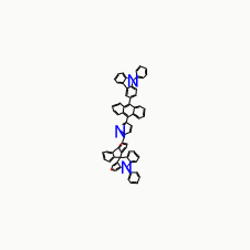 c1ccc(N2c3ccccc3C3(c4ccccc4-c4cc(-c5ccc(-c6c7ccccc7c(-c7ccc8c(c7)c7ccccc7n8-c7ccccc7)c7ccccc67)cn5)ccc43)c3ccccc32)cc1